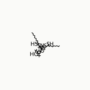 CCCCCCCCC(S)CSc1nc(Oc2cc(C(C)(C)C)c(O)c(C(C)(C)C)c2)nc(SCC(S)CCCCCCCC)n1